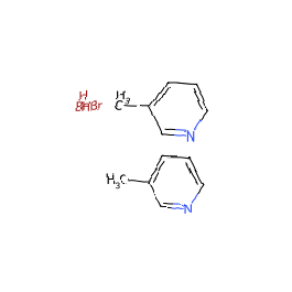 Br.Br.Cc1cccnc1.Cc1cccnc1